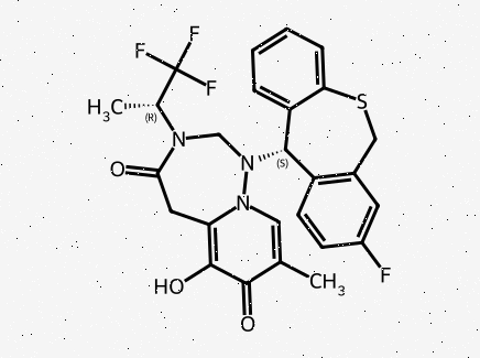 Cc1cn2c(c(O)c1=O)CC(=O)N([C@H](C)C(F)(F)F)CN2[C@H]1c2ccc(F)cc2CSc2ccccc21